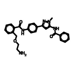 Cn1nc(-c2ccc(NC(=O)c3ccccc3COCCN)cc2)cc1NC(=O)c1ccccc1